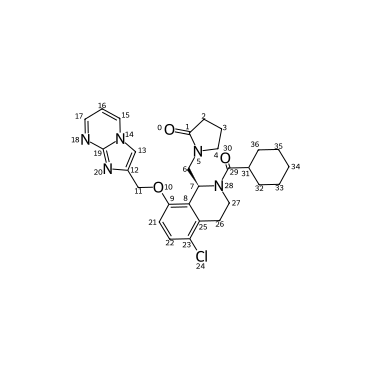 O=C1CCCN1C[C@@H]1c2c(OCc3cn4cccnc4n3)ccc(Cl)c2CCN1C(=O)C1CCCCC1